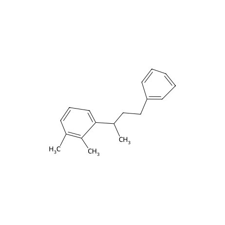 Cc1cccc(C(C)CCc2ccccc2)c1C